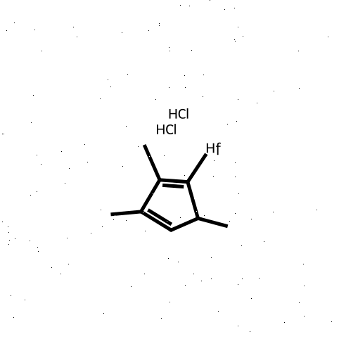 CC1=CC(C)[C]([Hf])=C1C.Cl.Cl